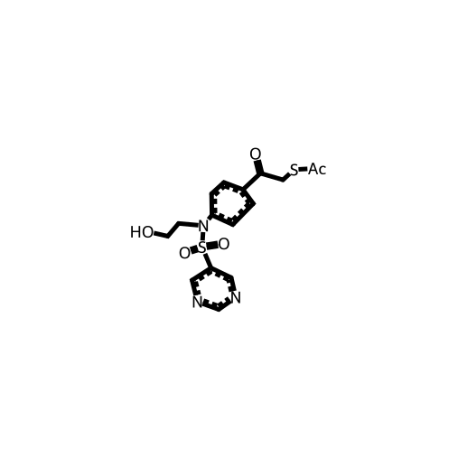 CC(=O)SCC(=O)c1ccc(N(CCO)S(=O)(=O)c2cncnc2)cc1